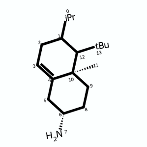 CC(C)C1CC=C2C[C@@H](N)CC[C@]2(C)C1C(C)(C)C